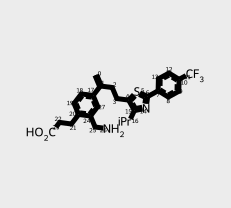 C=C(CCc1sc(-c2ccc(C(F)(F)F)cc2)nc1C(C)C)c1ccc(CCC(=O)O)c(CN)c1